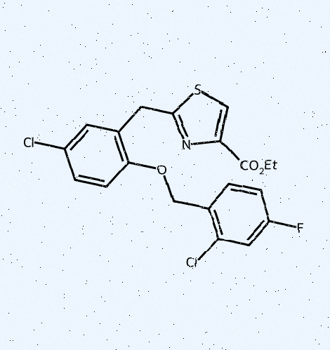 CCOC(=O)c1csc(Cc2cc(Cl)ccc2OCc2ccc(F)cc2Cl)n1